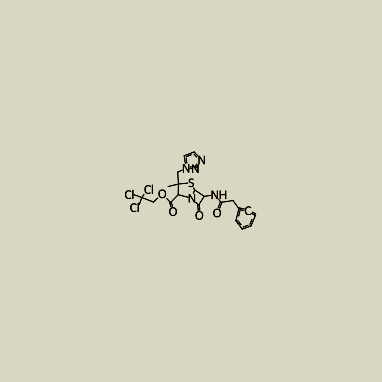 CC1(Cn2ccnn2)SC2C(NC(=O)Cc3ccccc3)C(=O)N2C1C(=O)OCC(Cl)(Cl)Cl